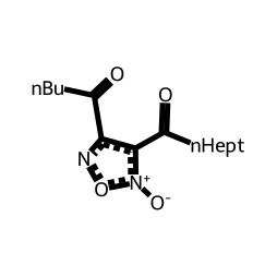 CCCCCCCC(=O)c1c(C(=O)CCCC)no[n+]1[O-]